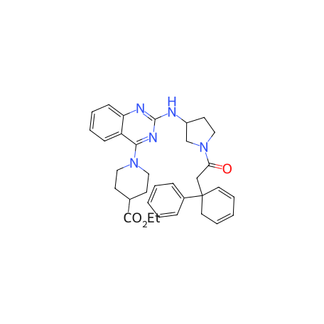 CCOC(=O)C1CCN(c2nc(NC3CCN(C(=O)CC4(c5ccccc5)C=CC=CC4)C3)nc3ccccc23)CC1